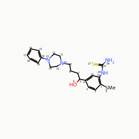 CSc1ccc(C(O)CCCN2CCN(c3ccccc3)CC2)cc1NC(N)=S